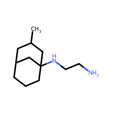 CC1CC2CCCC(NCCN)(C1)C2